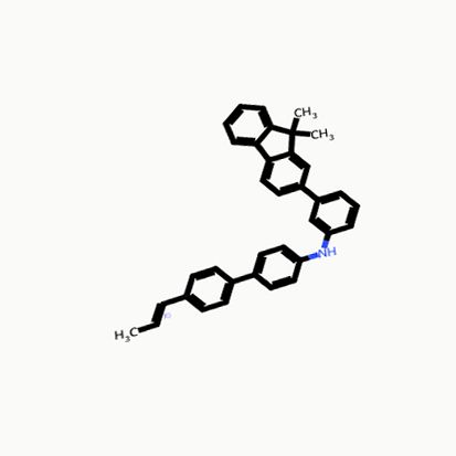 C/C=C/c1ccc(-c2ccc(Nc3cccc(-c4ccc5c(c4)C(C)(C)c4ccccc4-5)c3)cc2)cc1